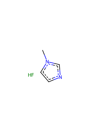 Cn1ccnc1.F